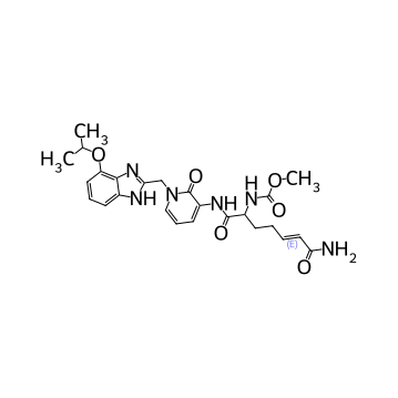 COC(=O)NC(CC/C=C/C(N)=O)C(=O)Nc1cccn(Cc2nc3c(OC(C)C)cccc3[nH]2)c1=O